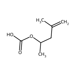 C=C(C)CC(C)OC(=O)O